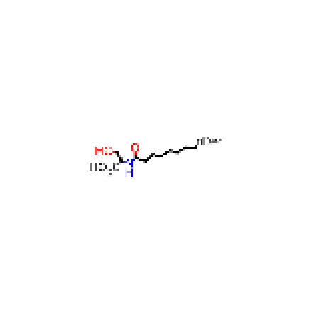 CCCCCCCCCCCCCCCCCC(=O)N[C@@H](CO)C(=O)O